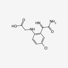 N=C(C(N)=O)c1cc(Cl)ccc1NCC(=O)O